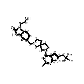 Cc1nc(N2CCC3(CCN(Cc4ccc5c(c4)[nH]c(=O)n5CCO)C3)C2)c2cc(CC(F)(F)F)sc2n1